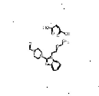 CCOCCn1c(N2CCN(C=O)CC2)nc2ccccc21.O=C(O)/C=C\C(=O)O